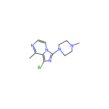 Cc1nccn2c(N3CCN(C)CC3)nc(Br)c12